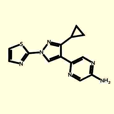 Nc1cnc(-c2cn(-c3nccs3)nc2C2CC2)cn1